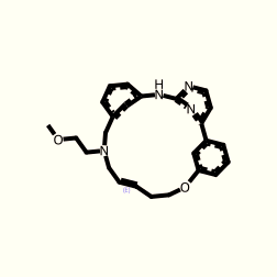 COCCN1C/C=C/CCOc2cccc(c2)-c2ccnc(n2)Nc2cccc(c2)C1